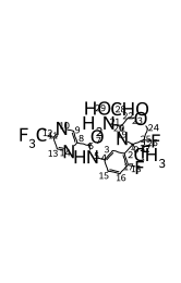 CC1(c2cc(NC(=O)c3cnc(C(F)(F)F)cn3)ccc2F)N=C(N)COCC1(F)F.O=CO